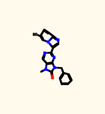 Cn1c(=O)n(Cc2ccccc2)c2nc(-c3cnc4ccc(C#N)cn34)ncc21